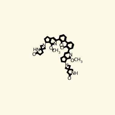 COc1nc(-c2cccc(-c3cccc(-c4cc5c(c(OC)n4)[C@H](N4CC6(CCC(=O)N6)C4)CC5)c3Cl)c2Cl)cc2c1[C@H](N1CC3(CNC(=O)C3)C1)CC2